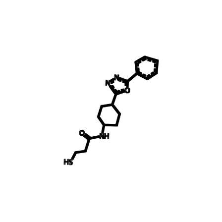 O=C(CCS)NC1CCC(c2nnc(-c3ccccc3)o2)CC1